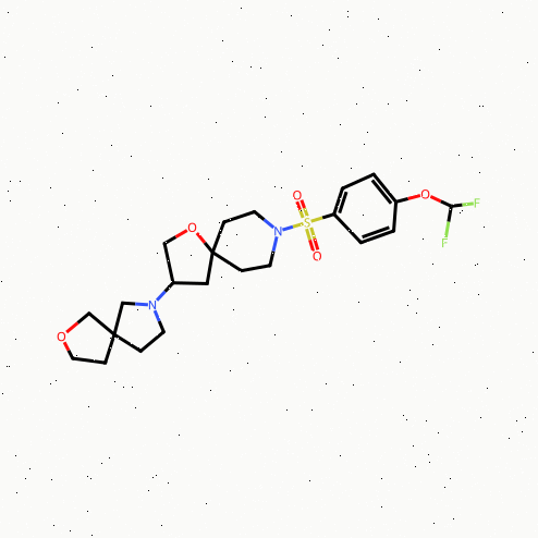 O=S(=O)(c1ccc(OC(F)F)cc1)N1CCC2(CC1)CC(N1CCC3(CCOC3)C1)CO2